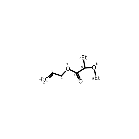 C=CCOC(=O)C(CC)OCC